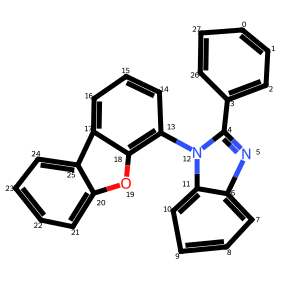 c1ccc(-c2nc3ccccc3n2-c2cccc3c2oc2ccccc23)cc1